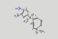 CC1(Br)C=CC=C(C(c2ccc(N)c(N)c2)(C(F)(F)F)C(F)(F)F)C=C1